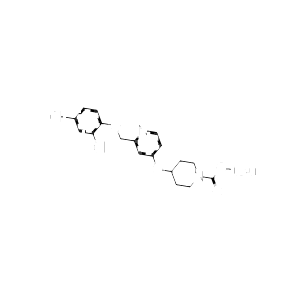 CC(C)(C)OC(=O)N1CCC(Oc2ccnc(COc3ccc(Cl)cc3Cl)c2)CC1